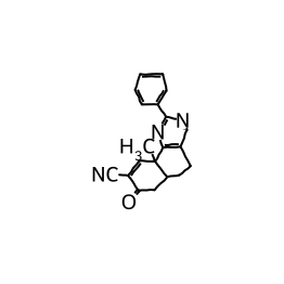 CC12C=C(C#N)C(=O)CC1CCc1cnc(-c3ccccc3)nc12